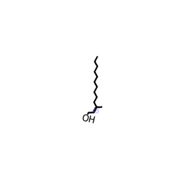 CCCCCCCCCC/C(C)=C\CO